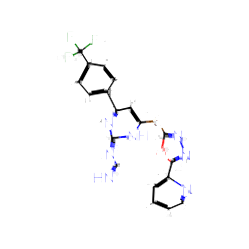 N=C/N=c1/nc(-c2ccc(C(F)(F)F)cc2)cc(Sc2nnc(-c3ccccn3)o2)[nH]1